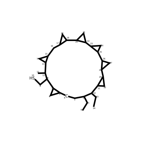 CCC1CCC2CC2C(CS)C(C)C2CC2CC2CC2C2CC2C2CC2C2CC2C2CC2C1CC